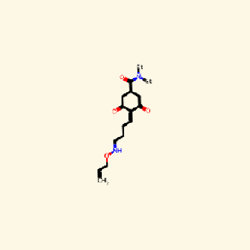 C=CCONCCCC=C1C(=O)CC(C(=O)N(CC)CC)CC1=O